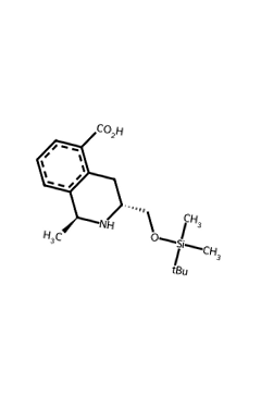 C[C@@H]1N[C@@H](CO[Si](C)(C)C(C)(C)C)Cc2c(C(=O)O)cccc21